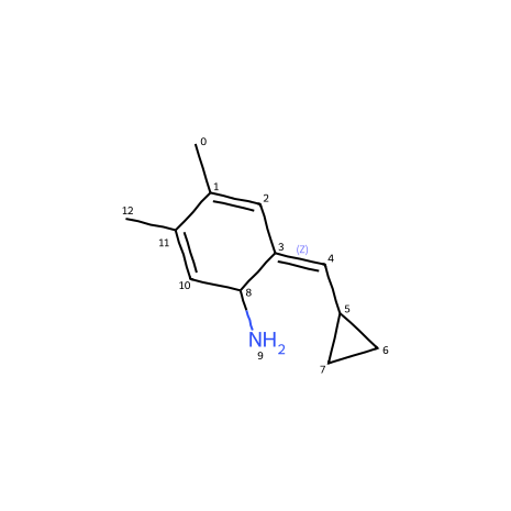 CC1=C/C(=C/C2CC2)C(N)C=C1C